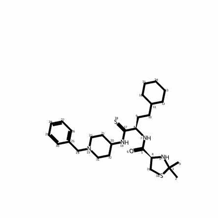 CC1(C)N[C@H](C(=O)N[C@H](CCC2CCCCC2)C(=S)NC2CCN(Cc3ccccc3)CC2)CS1